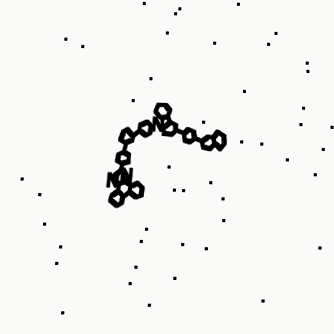 C1=Cc2c(n(-c3ccc(-c4cccc(-c5ccc(-c6cnc7c8ccccc8c8ccccc8c7n6)cc5)c4)cc3)c3ccc(-c4ccc(-c5ccc6ccccc6c5)cc4)cc23)CC1